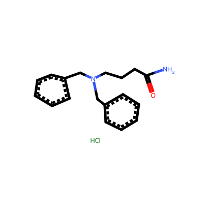 Cl.NC(=O)CCCN(Cc1ccccc1)Cc1ccccc1